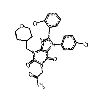 NC(=O)Cn1c(=O)c2c(nc(-c3ccccc3Cl)n2-c2ccc(Cl)cc2)n(CC2CCOCC2)c1=O